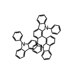 c1ccc(-c2ccc3c4ccccc4n(-c4ccccc4)c3c2-c2cccc3c4ccccc4n(-c4ccc5c(c4)c4ccccc4n5-c4ccccc4)c23)cc1